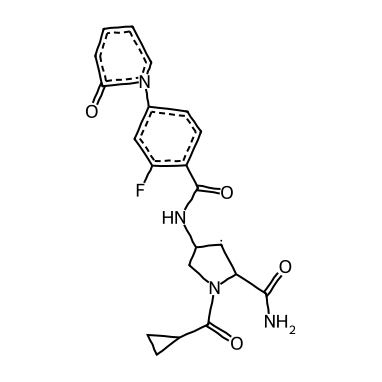 NC(=O)C1[CH]C(NC(=O)c2ccc(-n3ccccc3=O)cc2F)CN1C(=O)C1CC1